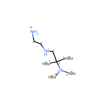 CCCCN(CCCC)C(CCCC)(CCCC)CNCCN